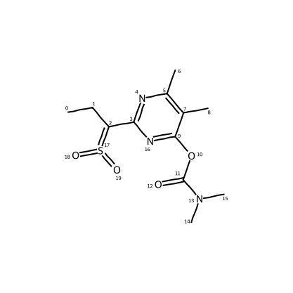 CCC(c1nc(C)c(C)c(OC(=O)N(C)C)n1)=S(=O)=O